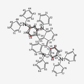 c1ccc(N(c2ccccc2)c2ccc(-c3c4cccc(N(c5ccccc5)c5ccccc5)c4c(-c4ccc(N(c5ccccc5)c5ccccc5)cc4)c4cccc(N(c5ccccc5)c5ccccc5)c34)cc2)cc1